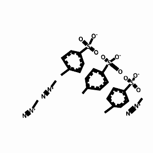 C[N+]#N.C[N+]#N.C[N+]#N.Cc1ccc(S(=O)(=O)[O-])cc1.Cc1ccc(S(=O)(=O)[O-])cc1.Cc1ccc(S(=O)(=O)[O-])cc1